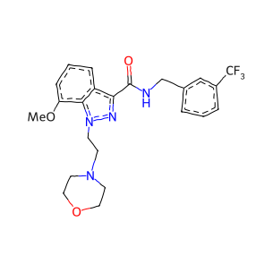 COc1cccc2c(C(=O)NCc3cccc(C(F)(F)F)c3)nn(CCN3CCOCC3)c12